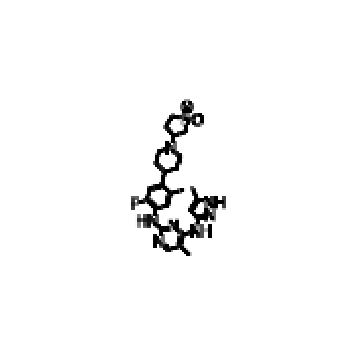 Cc1cc(Nc2nc(Nc3cc(C)c(C4CCN(C5CCS(=O)(=O)C5)CC4)cc3F)ncc2C)n[nH]1